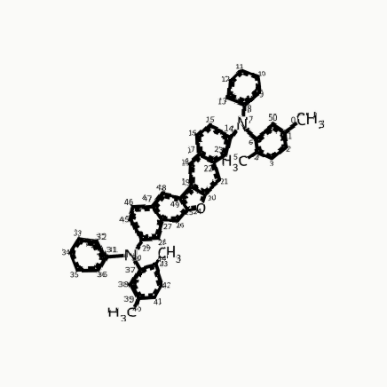 Cc1ccc(C)c(N(c2ccccc2)c2ccc3cc4c(cc3c2)oc2cc3cc(N(c5ccccc5)c5cc(C)ccc5C)ccc3cc24)c1